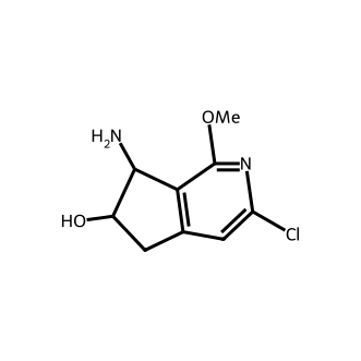 COc1nc(Cl)cc2c1C(N)C(O)C2